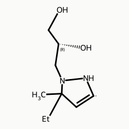 CCC1(C)C=[C]NN1C[C@@H](O)CO